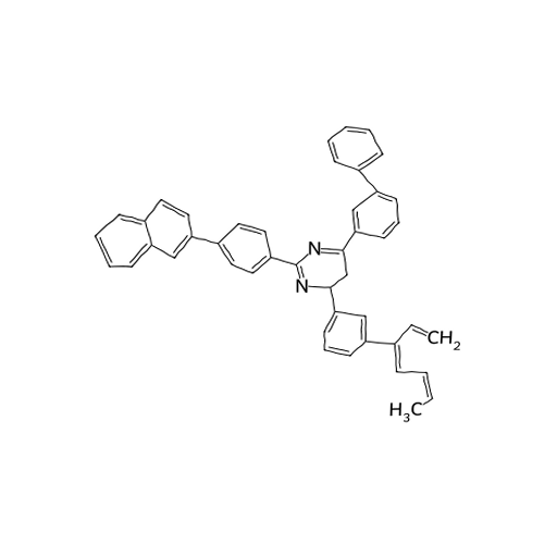 C=C/C(=C\C=C/C)c1cccc(C2CC(c3cccc(-c4ccccc4)c3)=NC(c3ccc(-c4ccc5ccccc5c4)cc3)=N2)c1